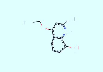 Cc1cc(OCC(F)(F)F)c2cccc(O)c2n1